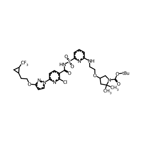 CC(C)(C)OC(=O)N1CC(OCCNc2cccc(S(=O)(=O)NC(=O)c3ccc(-n4ccc(OCCC5CC5C(F)(F)F)n4)nc3Cl)n2)CC1(C)C